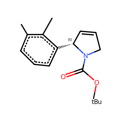 Cc1cccc([C@@H]2C=CCN2C(=O)OC(C)(C)C)c1C